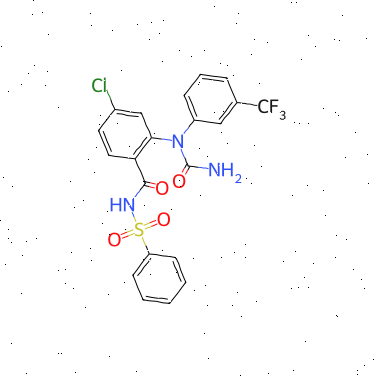 NC(=O)N(c1cccc(C(F)(F)F)c1)c1cc(Cl)ccc1C(=O)NS(=O)(=O)c1ccccc1